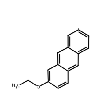 CCOc1ccc2cc3cc[c]cc3cc2c1